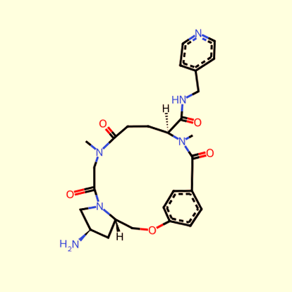 CN1CC(=O)N2C[C@H](N)C[C@H]2COc2ccc(cc2)C(=O)N(C)[C@H](C(=O)NCc2ccncc2)CCC1=O